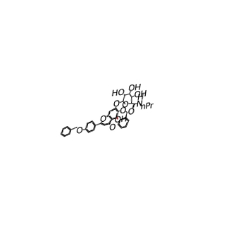 CCCNC(=O)C1OC(Oc2cc3oc(-c4ccc(OCc5ccccc5)cc4)cc(=O)c3c(O)c2OCc2ccccc2)C(O)C(O)C1O